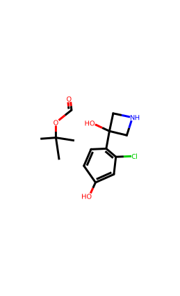 CC(C)(C)OC=O.Oc1ccc(C2(O)CNC2)c(Cl)c1